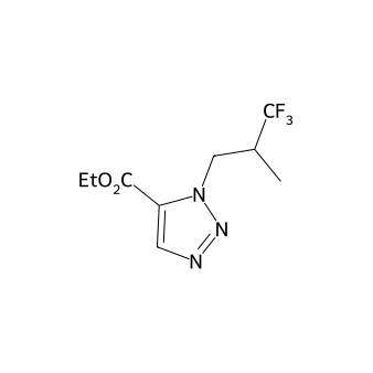 CCOC(=O)c1cnnn1CC(C)C(F)(F)F